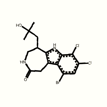 CC(C)(O)CC1CNC(=O)Cc2c1[nH]c1c(Cl)c(Cl)cc(Br)c21